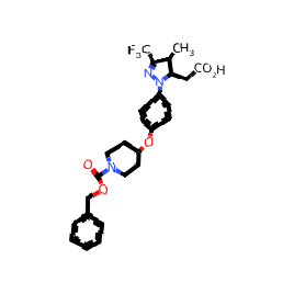 CC1C(C(F)(F)F)=NN(c2ccc(OC3CCN(C(=O)OCc4ccccc4)CC3)cc2)C1CC(=O)O